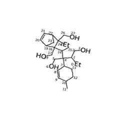 CCC(CO)C(CO)(C1C=CC(C)CC1)C(C)C1(CO)C2C=CC(C2)C1(CC)CO